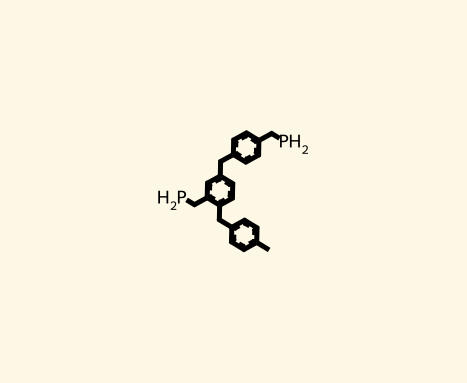 Cc1ccc(Cc2ccc(Cc3ccc(CP)cc3)cc2CP)cc1